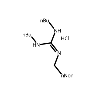 CCCCCCCCCCN=C(NCCCC)NCCCC.Cl